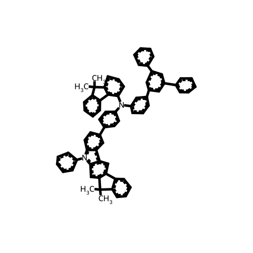 CC1(C)c2ccccc2-c2cc3c4cc(-c5ccc(N(c6cccc(-c7cc(-c8ccccc8)cc(-c8ccccc8)c7)c6)c6cccc7c6-c6ccccc6C7(C)C)cc5)ccc4n(-c4ccccc4)c3cc21